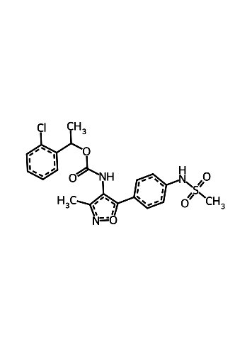 Cc1noc(-c2ccc(NS(C)(=O)=O)cc2)c1NC(=O)OC(C)c1ccccc1Cl